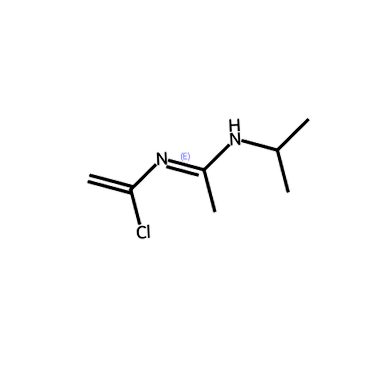 C=C(Cl)/N=C(\C)NC(C)C